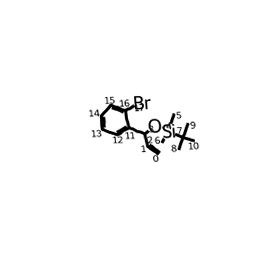 C=CC(O[Si](C)(C)C(C)(C)C)c1ccccc1Br